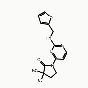 CCC1(C#N)CCN(c2ccnc(NCc3ccco3)n2)C1=O